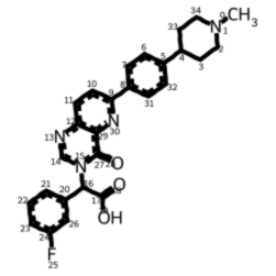 CN1CCC(c2ccc(-c3ccc4ncn(C(C(=O)O)c5cccc(F)c5)c(=O)c4n3)cc2)CC1